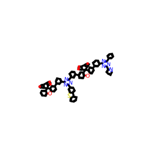 c1ccc(-c2nc(-c3cccc(-c4ccc5c(c4)C4(c6cc(-c7cccc(-c8nc(-c9cccc(-c%10ccc%11c(c%10)C%10(c%12ccccc%12O%11)c%11ccccc%11-c%11ccccc%11%10)c9)nc(-c9ccc%10c(c9)sc9ccccc9%10)n8)c7)ccc6O5)c5ccccc5-c5ccccc54)c3)nc(-c3ccccn3)n2)cc1